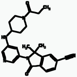 CCC(=O)N1CCC(Nc2cncc(N3C(=O)c4ccc(C#N)cc4C3(C)C)c2)CC1